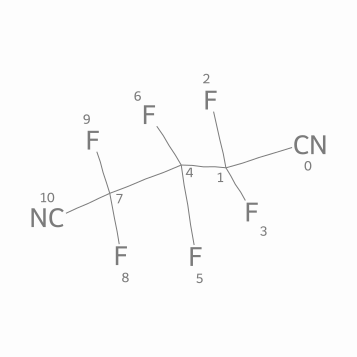 N#CC(F)(F)C(F)(F)C(F)(F)C#N